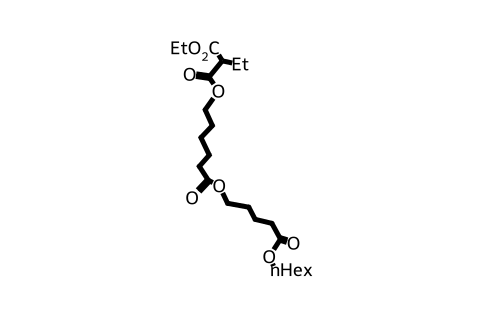 [CH2]CC(C(=O)OCC)C(=O)OCCCCCC(=O)OCCCCC(=O)OCCCCCC